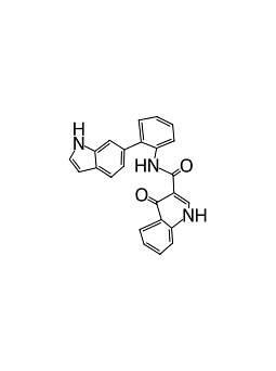 O=C(Nc1ccccc1-c1ccc2cc[nH]c2c1)c1c[nH]c2ccccc2c1=O